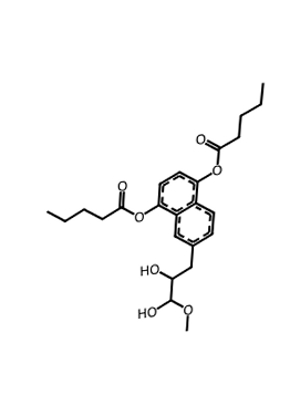 CCCCC(=O)Oc1ccc(OC(=O)CCCC)c2cc(CC(O)C(O)OC)ccc12